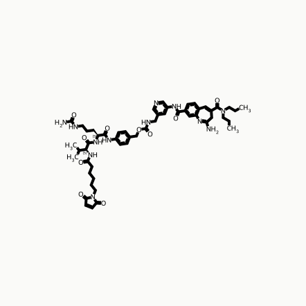 CCCN(CCC)C(=O)C1=Cc2ccc(C(=O)Nc3cncc(CNC(=O)OCc4ccc(NC(=O)[C@H](CCCNC(N)=O)NC(=O)[C@@H](NC(=O)CCCCCN5C(=O)C=CC5=O)C(C)C)cc4)c3)cc2N=C(N)C1